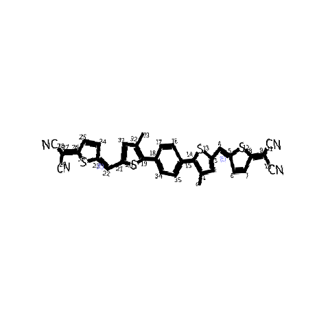 Cc1cc(/C=c2\ccc(=C(C#N)C#N)s2)sc1-c1ccc(-c2sc(/C=c3\ccc(=C(C#N)C#N)s3)cc2C)cc1